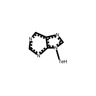 [TeH]n1cnc2cncnc21